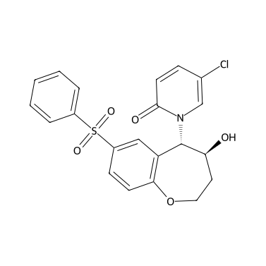 O=c1ccc(Cl)cn1[C@H]1c2cc(S(=O)(=O)c3ccccc3)ccc2OCC[C@@H]1O